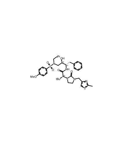 COc1ccc(S(=O)(=O)N(CC(C)C)C[C@@H](O)[C@H](Cc2ccccc2)NC(=O)[C@@H](N2CCN(Cc3csc(C)n3)C2=O)C(C)(C)C)cc1